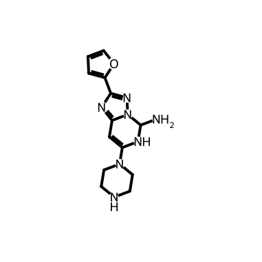 NC1NC(N2CCNCC2)=Cc2nc(-c3ccco3)nn21